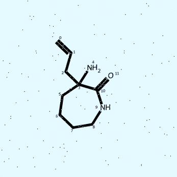 C=CCC1(N)CCCCNC1=O